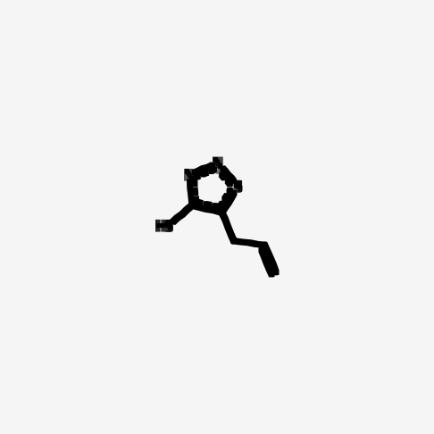 C=CCc1snnc1S